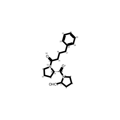 O=CC1CCCN1C(=O)[C@@H]1CCCN1C(=O)CCCc1ccccc1